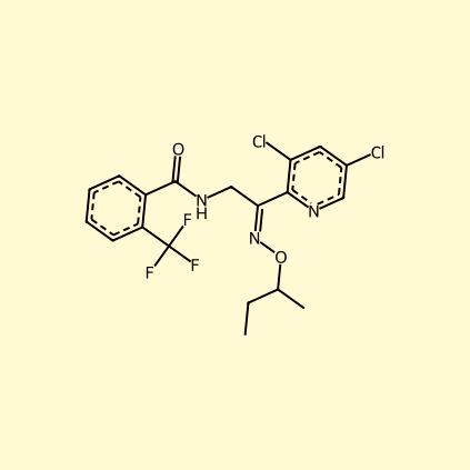 CCC(C)ON=C(CNC(=O)c1ccccc1C(F)(F)F)c1ncc(Cl)cc1Cl